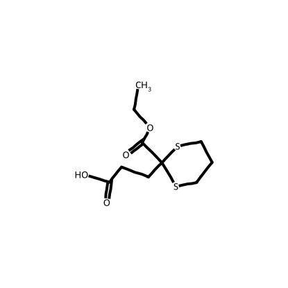 CCOC(=O)C1(CCC(=O)O)SCCCS1